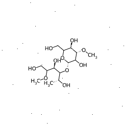 COC(CO)[C@@H](O)C(O[C@@H]1OC(CO)[C@@H](O)[C@H](OC)C1O)[C@@H](C)O